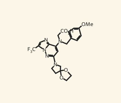 COc1ccc(CN(CC(=O)O)c2cc(N3CCC4(C3)OCCO4)nn3c(C(F)(F)F)cnc23)cc1